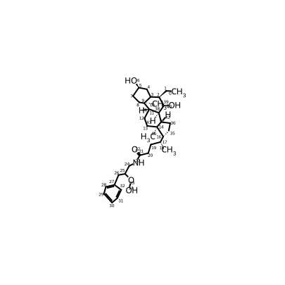 CC[C@@H]1C2C[C@H](O)CC[C@]2(C)[C@H]2CC[C@]3(C)[C@@H]([C@H](C)CCC(=O)NCC(Cc4ccccc4)OO)CC[C@H]3[C@@H]2[C@@H]1O